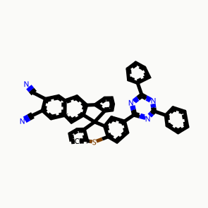 N#Cc1cc2cc3c(cc2cc1C#N)C1(c2ccccc2Sc2ccc(-c4nc(-c5ccccc5)nc(-c5ccccc5)n4)cc21)c1ccccc1-3